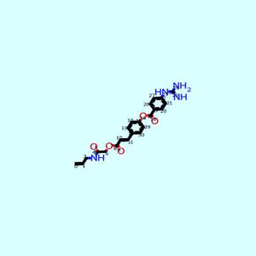 C=CCNC(=O)COC(=O)C=Cc1ccc(OC(=O)c2ccc(NC(=N)N)cc2)cc1